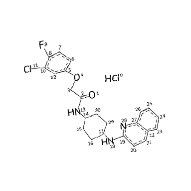 Cl.O=C(COc1ccc(F)c(Cl)c1)NC1CCC(Nc2ccc3ccccc3n2)CC1